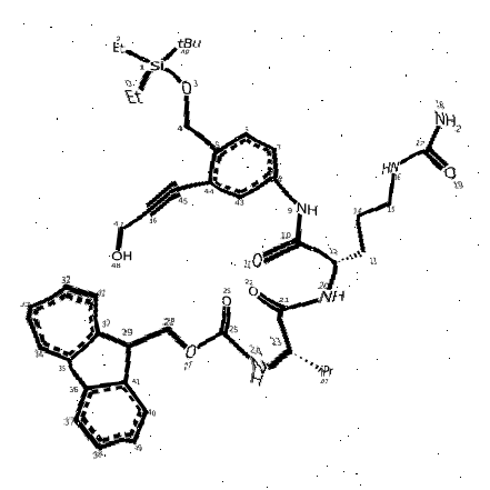 CC[Si](CC)(OCc1ccc(NC(=O)[C@H](CCCNC(N)=O)NC(=O)[C@@H](NC(=O)OCC2c3ccccc3-c3ccccc32)C(C)C)cc1C#CCO)C(C)(C)C